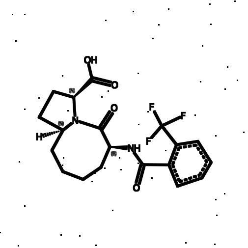 O=C(N[C@H]1CCCC[C@H]2CC[C@@H](C(=O)O)N2C1=O)c1ccccc1C(F)(F)F